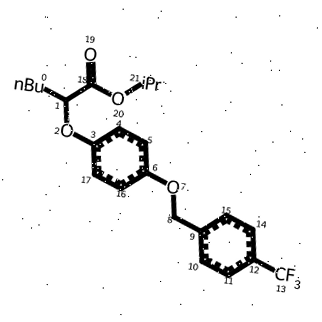 CCCCC(Oc1ccc(OCc2ccc(C(F)(F)F)cc2)cc1)C(=O)OC(C)C